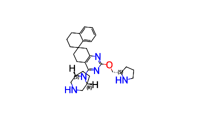 c1ccc2c(c1)CCCC21CCc2c(nc(OC[C@@H]3CCCN3)nc2N2[C@@H]3CC[C@H]2CNC3)C1